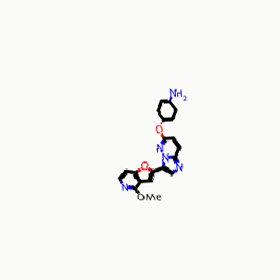 COc1nccc2oc(-c3cnc4ccc(O[C@H]5CC[C@H](N)CC5)nn34)cc12